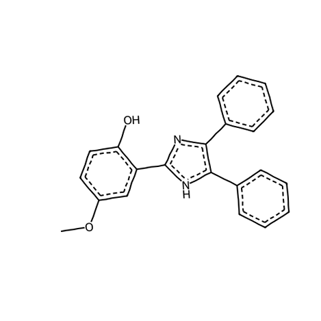 COc1ccc(O)c(-c2nc(-c3ccccc3)c(-c3ccccc3)[nH]2)c1